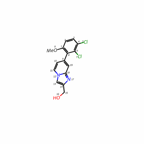 COc1ccc(Cl)c(Cl)c1-c1ccn2cc(CO)nc2c1